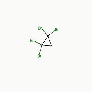 BrC1(Br)CC1(Br)Br